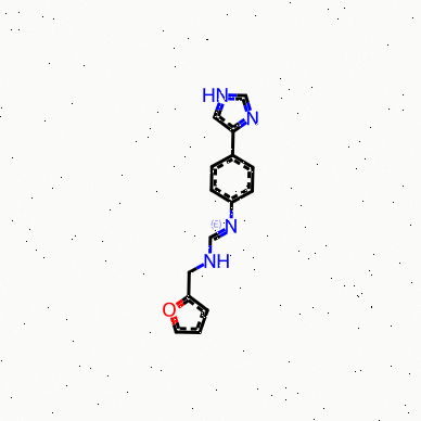 C(=N\c1ccc(-c2c[nH]cn2)cc1)/NCc1ccco1